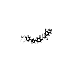 N#Cc1ncc(-n2cc(-c3ccc(CNC(=O)c4ccc5[nH]ncc5c4)c(F)c3)cn2)cc1C(F)(F)F